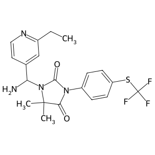 CCc1cc(C(N)N2C(=O)N(c3ccc(SC(F)(F)F)cc3)C(=O)C2(C)C)ccn1